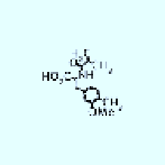 C=C(C)C(=O)NC(Cc1ccc(C)c(OC)c1)C(=O)O